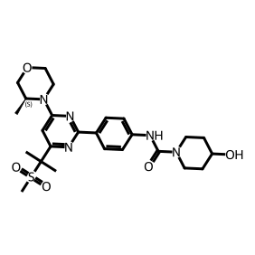 C[C@H]1COCCN1c1cc(C(C)(C)S(C)(=O)=O)nc(-c2ccc(NC(=O)N3CCC(O)CC3)cc2)n1